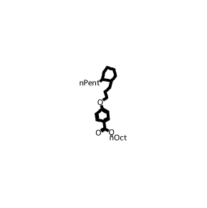 CCCCCCCCOC(=O)c1ccc(OCCCC2CCCCC2CCCCC)cc1